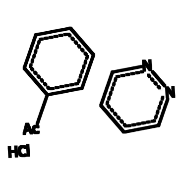 CC(=O)c1ccccc1.Cl.c1ccnnc1